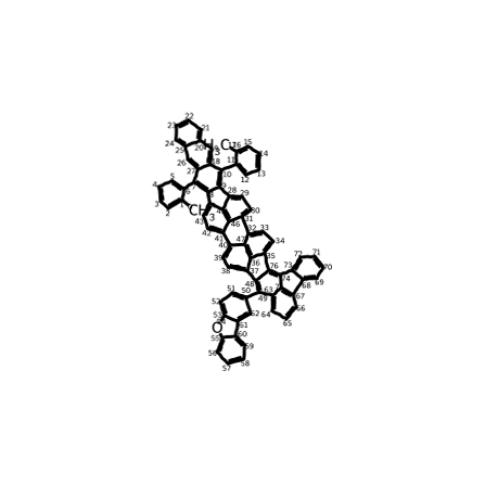 Cc1ccccc1-c1c2c(c(-c3ccccc3C)c3cc4ccccc4cc13)-c1ccc3c4ccc5c6c(ccc(c7ccc-2c1c73)c46)c1c(-c2ccc3oc4ccccc4c3c2)c2cccc3c4ccccc4c(c23)c51